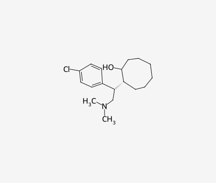 CN(C)CC(c1ccc(Cl)cc1)[C@H]1CCCCCCC1O